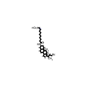 CCCCCCCC/C=C\CCCCCCCC(=O)NC1CCC2(C)C(CCC3C2CCC2(C)C3CC[C@@H]2[C@H](C)CCC(C)=O)C1